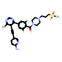 CCc1ncnc(-c2cc(F)c(C(=O)N3CCN(CCCS(C)(=O)=O)CC3)c(F)c2)c1C#Cc1ccc(N)nc1